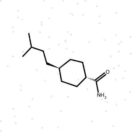 CC(C)CC[C@H]1CC[C@H](C(N)=O)CC1